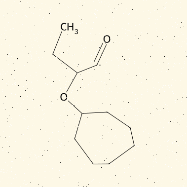 CCC([C]=O)OC1CCCCCC1